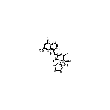 Cc1cc(Nc2ncnc3c(Cl)cc(Cl)cc23)c(=O)n2c1C(=O)NC21CCCCC1